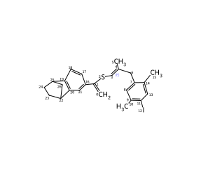 C=C(S/C=C(\C)Cc1cc(C)c(I)cc1C)c1ccc2c(c1)C1CCC2C1